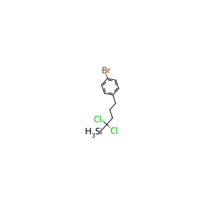 [SiH3]C(Cl)(Cl)CCCc1ccc(Br)cc1